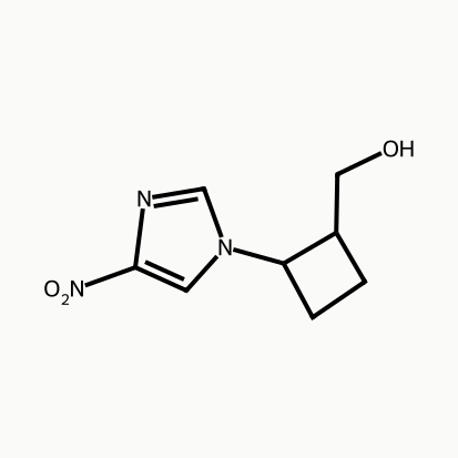 O=[N+]([O-])c1cn(C2CCC2CO)cn1